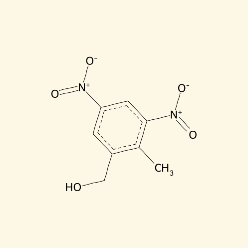 Cc1c(CO)cc([N+](=O)[O-])cc1[N+](=O)[O-]